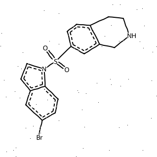 O=S(=O)(c1ccc2c(c1)CNCC2)n1ccc2cc(Br)ccc21